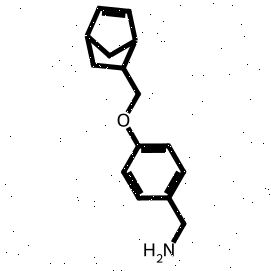 NCc1ccc(OCC2CC3C=CC2C3)cc1